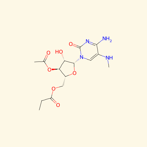 CCC(=O)OC[C@H]1O[C@@H](n2cc(NC)c(N)nc2=O)[C@@H](O)[C@@H]1OC(C)=O